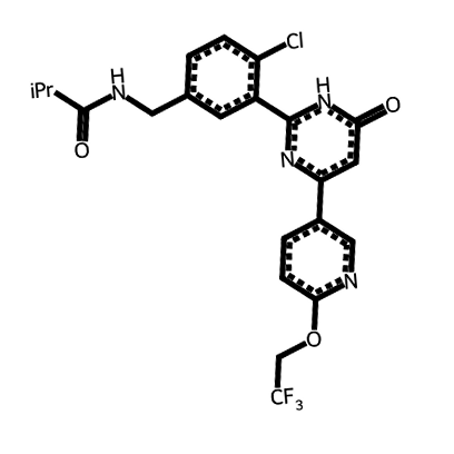 CC(C)C(=O)NCc1ccc(Cl)c(-c2nc(-c3ccc(OCC(F)(F)F)nc3)cc(=O)[nH]2)c1